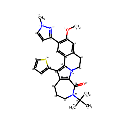 COc1cc2c(cc1-c1ccn(C)n1)-c1c(-c3cccs3)c3c(n1CC2)C(=O)N(C(C)(C)C)CCC3